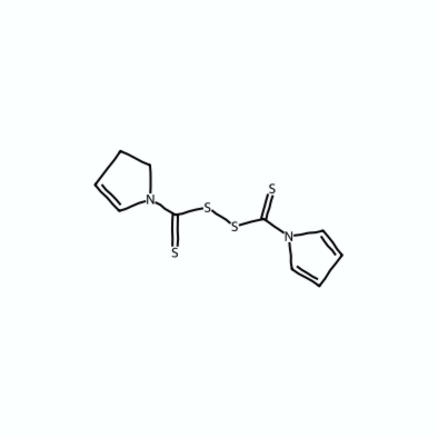 S=C(SSC(=S)n1cccc1)N1C=CCC1